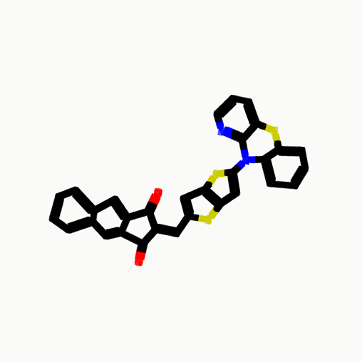 O=C1C(=Cc2cc3sc(N4c5ccccc5Sc5cccnc54)cc3s2)C(=O)c2cc3ccccc3cc21